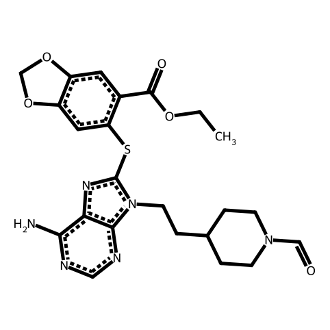 CCOC(=O)c1cc2c(cc1Sc1nc3c(N)ncnc3n1CCC1CCN(C=O)CC1)OCO2